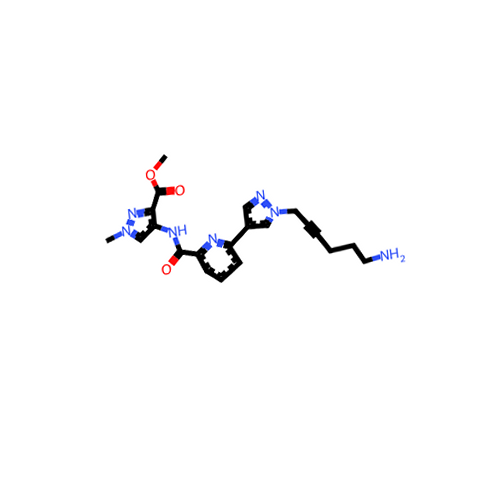 COC(=O)c1nn(C)cc1NC(=O)c1cccc(-c2cnn(CC#CCCCN)c2)n1